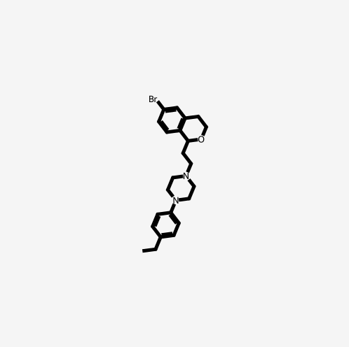 CCc1ccc(N2CCN(CCC3OCCc4cc(Br)ccc43)CC2)cc1